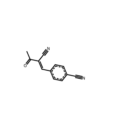 CC(=O)/C(C#N)=C/c1ccc(C#N)cc1